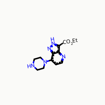 CCOC(=O)c1[nH]nc2c(N3CCNCC3)ccnc12